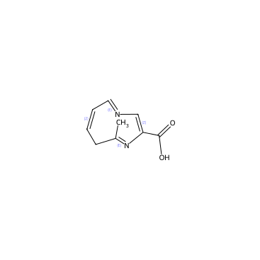 C\C1=N/C(C(=O)O)=C\N=C\C=C/C1